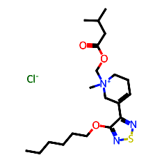 CCCCCCOc1nsnc1C1=CCC[N+](C)(COC(=O)CC(C)C)C1.[Cl-]